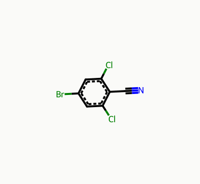 N#Cc1c(Cl)cc(Br)cc1Cl